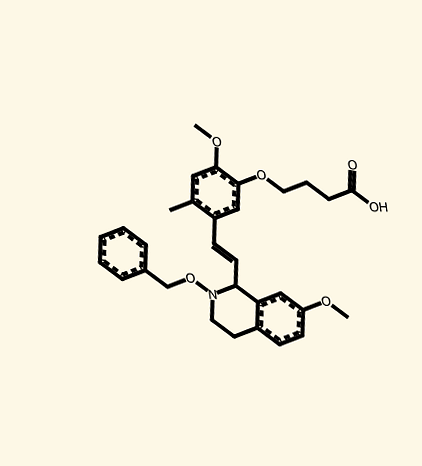 COc1ccc2c(c1)C(/C=C/c1cc(OCCCC(=O)O)c(OC)cc1C)N(OCc1ccccc1)CC2